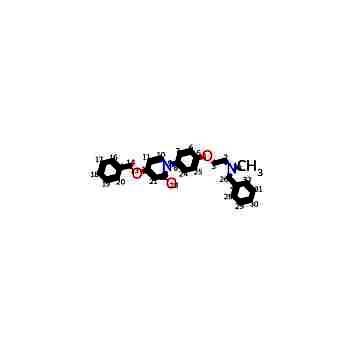 CN(CCOc1ccc(-n2ccc(OCc3ccccc3)cc2=O)cc1)Cc1ccccc1